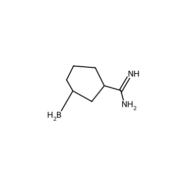 BC1CCCC(C(=N)N)C1